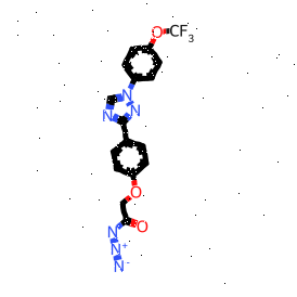 [N-]=[N+]=NC(=O)COc1ccc(-c2ncn(-c3ccc(OC(F)(F)F)cc3)n2)cc1